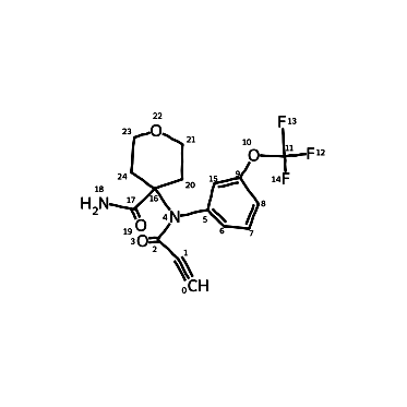 C#CC(=O)N(c1cccc(OC(F)(F)F)c1)C1(C(N)=O)CCOCC1